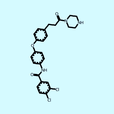 O=C(Nc1ccc(Oc2ccc(CCC(=O)N3CCNCC3)cc2)cc1)c1ccc(Cl)c(Cl)c1